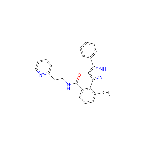 Cc1cccc(C(=O)NCCc2ccccn2)c1-c1cc(-c2ccccc2)[nH]n1